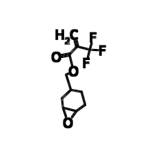 C=C(C(=O)OCC1CCC2OC2C1)C(F)(F)F